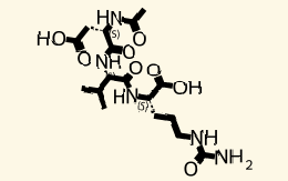 CC(=O)N[C@@H](CC(=O)O)C(=O)N[C@H](C(=O)N[C@@H](CCCNC(N)=O)C(=O)O)C(C)C